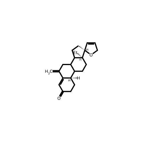 C=C1CC2C(CC[C@@]3(CC)C2CC[C@@]32C=CCO2)[C@H]2CCC(=O)C=C12